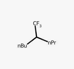 [CH2]CCCC(CCC)C(F)(F)F